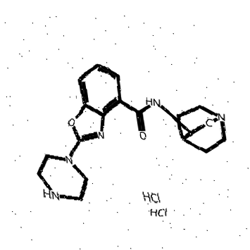 Cl.Cl.O=C(NC1CN2CCC1CC2)c1cccc2oc(N3CCNCC3)nc12